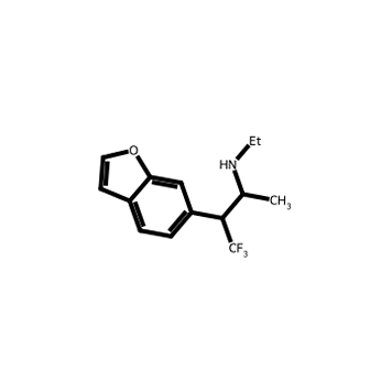 CCNC(C)C(c1ccc2ccoc2c1)C(F)(F)F